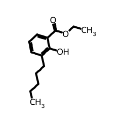 CCCCCc1cccc(C(=O)OCC)c1O